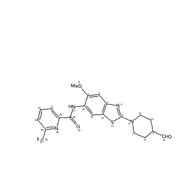 COc1cc2nc(N3CCC(C=O)CC3)sc2cc1NC(=O)c1cccc(C(F)(F)F)n1